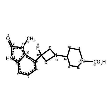 Cn1c(=O)[nH]c2cccc(C3(F)CN(C4CCN(C(=O)O)CC4)C3)c21